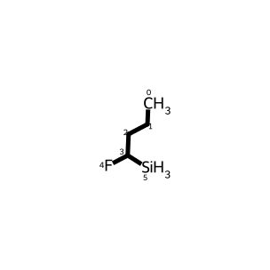 CCCC(F)[SiH3]